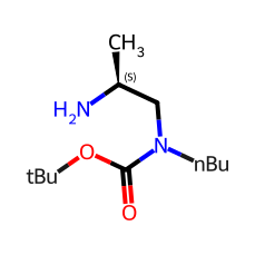 CCCCN(C[C@H](C)N)C(=O)OC(C)(C)C